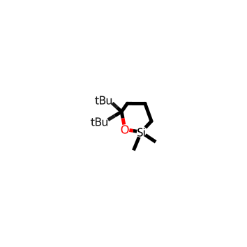 CC(C)(C)C1(C(C)(C)C)CCC[Si](C)(C)O1